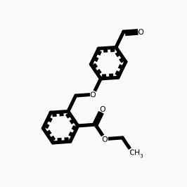 CCOC(=O)c1ccccc1COc1ccc(C=O)cc1